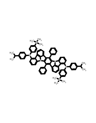 CC(C)c1ccc(N(c2ccc(S(C)(C)C)cc2)c2cccc3c2c2cccc4c5c(-c6ccccc6)c6c(c(-c7ccccc7)c5n3c24)c2cccc3c4c(N(c5ccc(C(C)C)cc5)c5ccc(S(C)(C)C)cc5)cccc4n6c32)cc1